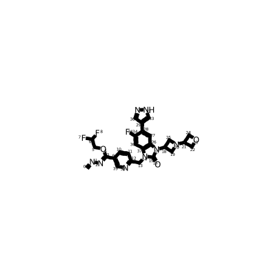 C=N/N=C(\OCC(F)F)c1ccc(Cn2c(=O)n(C3CN(C4COC4)C3)c3cc(-c4cn[nH]c4)c(F)cc32)nc1